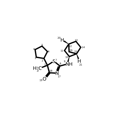 CC1(C2CCCC2)SC(N[C@H]2C[C@@H]3CC[C@H]2C3)=NC1=O